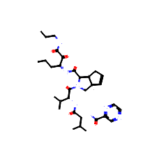 CCCC(NC(=O)C1[C@H]2CC=C[C@H]2CN1C(=O)[C@@H](NC(=O)[C@H](NC(=O)c1cnccn1)C(C)C)C(C)C)C(=O)C(=O)N[C@@H](C)CC